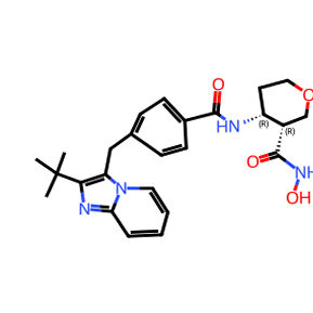 CC(C)(C)c1nc2ccccn2c1Cc1ccc(C(=O)N[C@@H]2CCOC[C@@H]2C(=O)NO)cc1